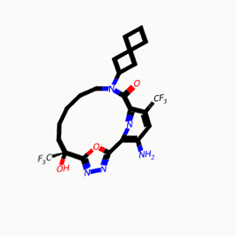 Nc1cc(C(F)(F)F)c2nc1-c1nnc(o1)[C@@](O)(C(F)(F)F)CCCCCN(C1CC3(CCC3)C1)C2=O